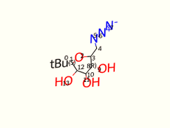 CC(C)(C)[C@@H]1OC(CN=[N+]=[N-])[C@H](O)C(O)C1O